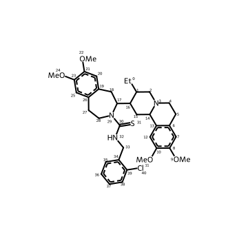 CCC1CN2CCc3cc(OC)c(OC)cc3C2CC1C1Cc2cc(OC)c(OC)cc2CCN1C(=S)NCc1ccccc1Cl